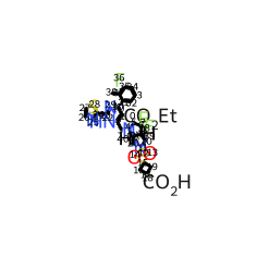 CCOC(=O)C1=C(CN2CC(F)(F)[C@@H]3CN(S(=O)(=O)C4CC(C(=O)O)C4)C[C@@H]32)NC(c2nccs2)=N[C@H]1c1cccc(F)c1C